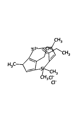 CCC1=[C]2[Ti+2][C]3=C(CC)C(=CC3C)[Si](C)(C)C1=CC2C.[Cl-].[Cl-]